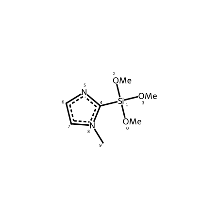 CO[Si](OC)(OC)c1nccn1C